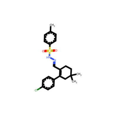 Cc1ccc(S(=O)(=O)NN=CC2=C(c3ccc(Cl)cc3)CC(C)(C)CC2)cc1